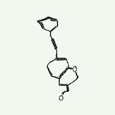 O=CC1=Cc2ccc(C#Cc3ccccc3)cc2OC1